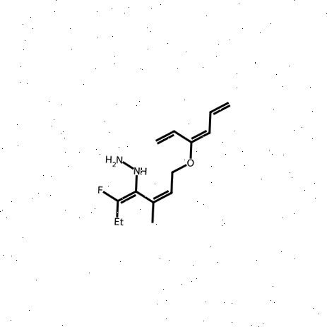 C=C/C=C(\C=C)OC/C=C(C)\C(NN)=C(\F)CC